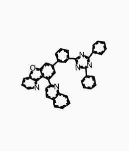 c1ccc(-c2nc(-c3ccccc3)nc(-c3cccc(-c4cc(-c5ccc6ccccc6n5)c5c(c4)oc4cccnc45)c3)n2)cc1